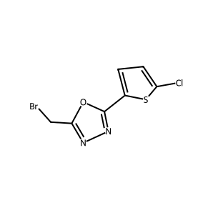 Clc1ccc(-c2nnc(CBr)o2)s1